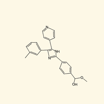 COC(O)c1ccc(-c2nc(-c3cccc(C)c3)c(-c3ccncc3)[nH]2)cc1